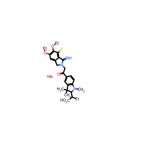 Br.CCOc1cc2c(c(F)c1OCC)C(=N)N(CC(=O)c1ccc3c(c1)C(C)(C)C(C(CC)C(=O)O)N3C)C2